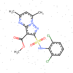 COC(=O)c1c(S(=O)(=O)Nc2c(Cl)cccc2Cl)nn2c(C)cc(C)nc12